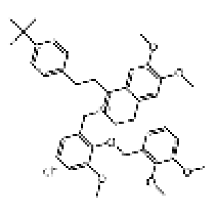 COc1cc2c(cc1OC)C(CCc1ccc(C(C)(C)C)cc1)=[N+](Cc1cccc(OC)c1OCc1cccc(OC)c1OC)CC2.[Cl-]